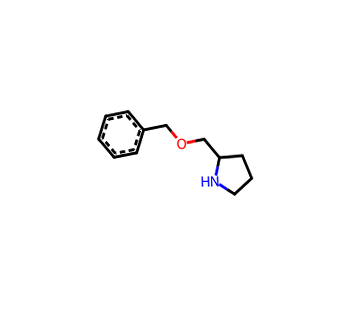 c1ccc(COCC2CCCN2)cc1